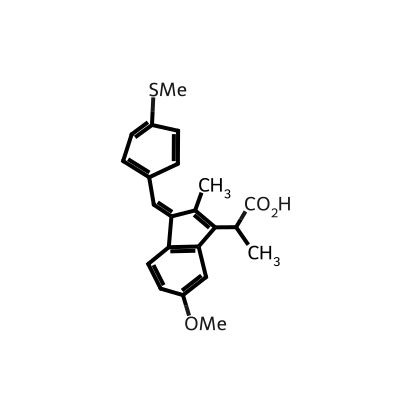 COc1ccc2c(c1)C(C(C)C(=O)O)=C(C)C2=Cc1ccc(SC)cc1